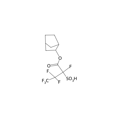 O=C(OC1CC2CCC1C2)C(F)(C(F)(F)C(F)(F)F)S(=O)(=O)O